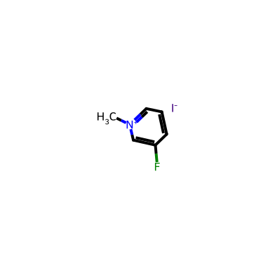 C[n+]1cccc(F)c1.[I-]